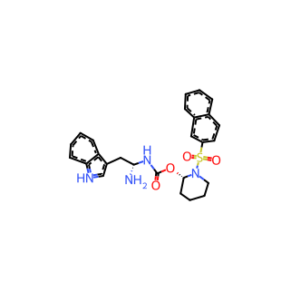 N[C@H](Cc1c[nH]c2ccccc12)NC(=O)O[C@H]1CCCCN1S(=O)(=O)c1ccc2ccccc2c1